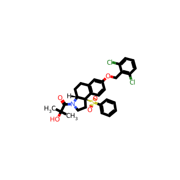 CC(C)(O)C(=O)N1CC[C@@]2(S(=O)(=O)c3ccccc3)c3ccc(OCc4c(Cl)cccc4Cl)cc3CC[C@@H]12